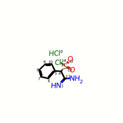 Cl.N=C(N)C(c1ccccc1)S(=O)(=O)Cl